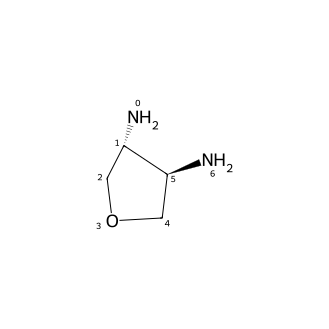 N[C@H]1COC[C@@H]1N